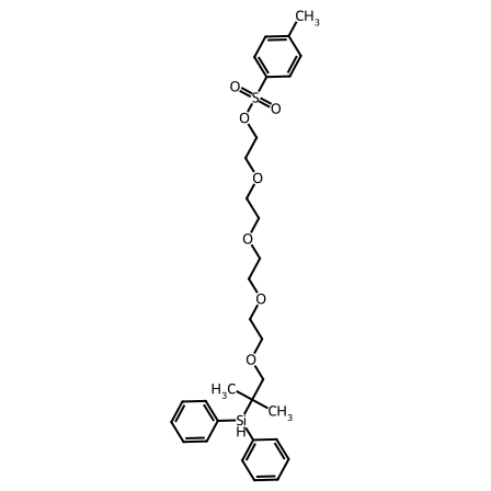 Cc1ccc(S(=O)(=O)OCCOCCOCCOCCOCC(C)(C)[SiH](c2ccccc2)c2ccccc2)cc1